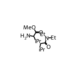 CCN(CC)C(=O)CC(C)C.COC(=O)C(N)C(C)C